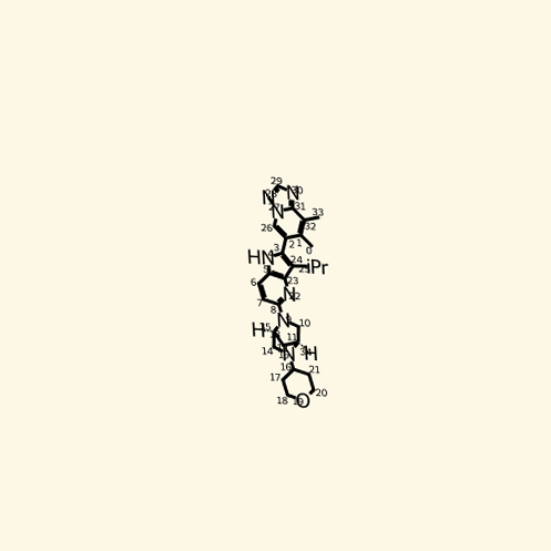 Cc1c(-c2[nH]c3ccc(N4C[C@@H]5C[C@H]4CN5C4CCOCC4)nc3c2C(C)C)cn2ncnc2c1C